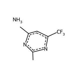 Cc1cc(C(F)(F)F)nc(C)n1.N